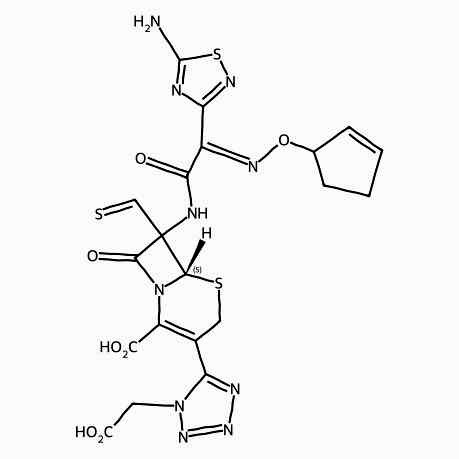 Nc1nc(C(=NOC2C=CCC2)C(=O)NC2(C=S)C(=O)N3C(C(=O)O)=C(c4nnnn4CC(=O)O)CS[C@H]32)ns1